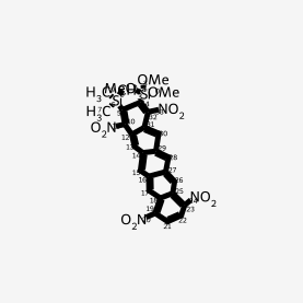 CO[Si](OC)(OC)c1c([Si](C)(C)C)c([N+](=O)[O-])c2cc3cc4cc5c([N+](=O)[O-])ccc([N+](=O)[O-])c5cc4cc3cc2c1[N+](=O)[O-]